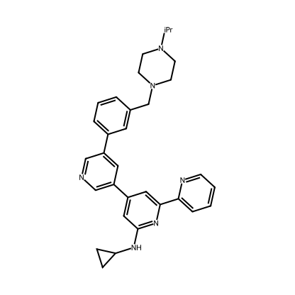 CC(C)N1CCN(Cc2cccc(-c3cncc(-c4cc(NC5CC5)nc(-c5ccccn5)c4)c3)c2)CC1